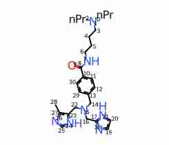 CCCN(CCC)CCCCNC(=O)c1ccc(CN(Cc2ncc[nH]2)Cc2[nH]cnc2C)cc1